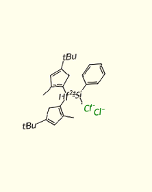 CC1=[C]([Hf+2]([C]2=C(C)C=C(C(C)(C)C)C2)=[Si](C)c2ccccc2)CC(C(C)(C)C)=C1.[Cl-].[Cl-]